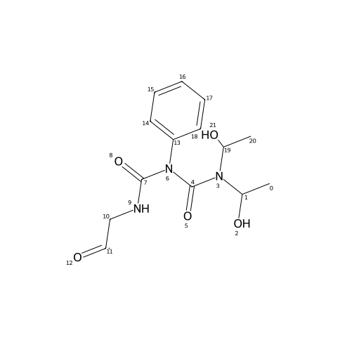 CC(O)N(C(=O)N(C(=O)NC[C]=O)c1ccccc1)C(C)O